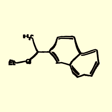 CCOC(C)c1[c]c2ccccc2cc1